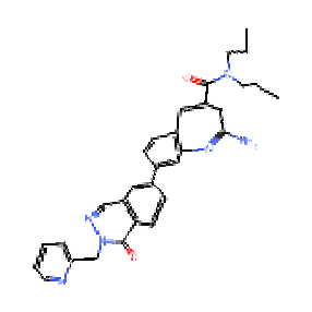 CCCN(CCC)C(=O)C1=Cc2ccc(-c3ccc4c(=O)n(Cc5ccccn5)ncc4c3)cc2N=C(N)C1